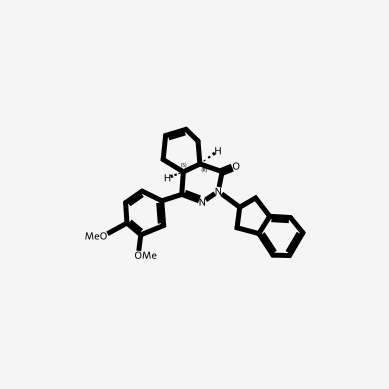 COc1ccc(C2=NN(C3Cc4ccccc4C3)C(=O)[C@@H]3CC=CC[C@H]23)cc1OC